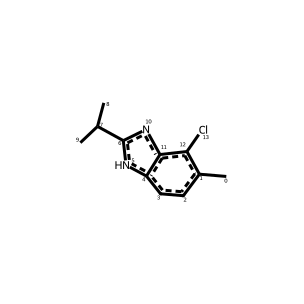 Cc1ccc2[nH]c(C(C)C)nc2c1Cl